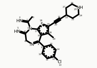 CC(=N)N1C(=N)CN=C(c2ccc(Cl)cc2)c2c1sc(C#CC1CCNCC1)c2C